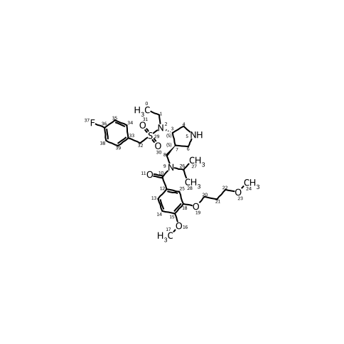 CCN([C@@H]1CNC[C@H]1CN(C(=O)c1ccc(OC)c(OCCCOC)c1)C(C)C)S(=O)(=O)Cc1ccc(F)cc1